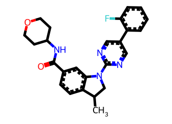 CC1CN(c2ncc(-c3ccccc3F)cn2)c2cc(C(=O)NC3CCOCC3)ccc21